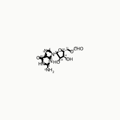 Nc1nc2c(ncn2[C@@H]2O[C@H](COC=O)[C@@H](O)[C@H]2O)c(=O)[nH]1